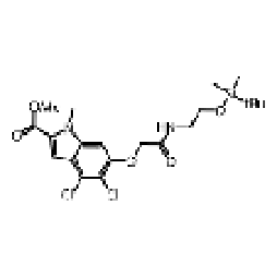 COC(=O)c1cc2c(Cl)c(Cl)c(OCC(=O)NCCO[Si](C)(C)C(C)(C)C)cc2n1C